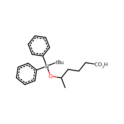 CC(CCCC(=O)O)O[Si](c1ccccc1)(c1ccccc1)C(C)(C)C